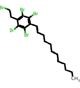 CCCCCCCCCCCCc1c(Br)c(Br)c(CCBr)c(Br)c1Br